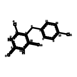 O=c1[nH]c(Cl)c(Cc2ccc(Cl)cc2)c(=O)[nH]1